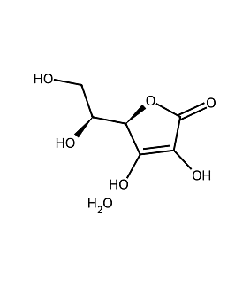 O.O=C1O[C@H]([C@@H](O)CO)C(O)=C1O